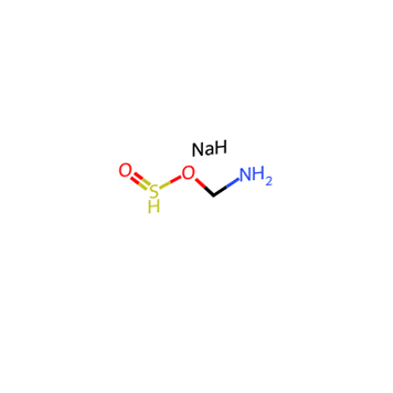 NCO[SH]=O.[NaH]